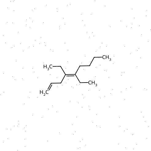 C=CC/C(CC)=C(\CC)CCCC